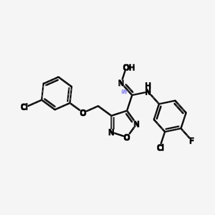 O/N=C(\Nc1ccc(F)c(Cl)c1)c1nonc1COc1cccc(Cl)c1